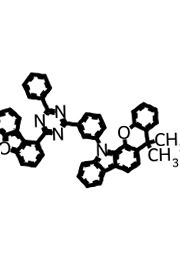 CC1(C)c2ccccc2Oc2c1ccc1c3ccccc3n(-c3cccc(-c4nc(-c5ccccc5)nc(-c5cccc6oc7ccccc7c56)n4)c3)c21